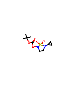 CC(C)(C)OC(=O)ON1CCN(C2CC2)S1(=O)=O